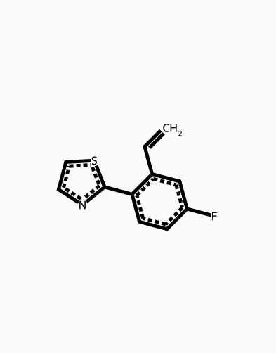 C=Cc1cc(F)ccc1-c1nccs1